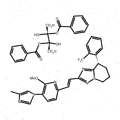 COc1nc(/C=C/c2nc3n(n2)CCC[C@H]3c2ccccc2C(F)(F)F)ccc1-n1cnc(C)c1.O=C(O[C@](O)(C(=O)O)[C@](O)(OC(=O)c1ccccc1)C(=O)O)c1ccccc1